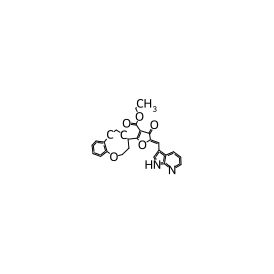 CCOC(=O)C1=C(C2CCCc3ccccc3OCC2)O/C(=C\c2c[nH]c3ncccc23)C1=O